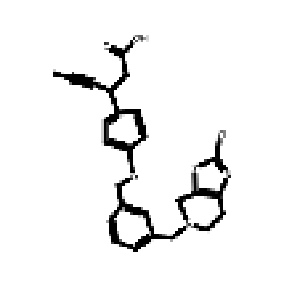 CC#CC(CC(=O)O)c1ccc(OCc2cccc(CN3CCc4nc(Cl)sc4C3)c2)cc1